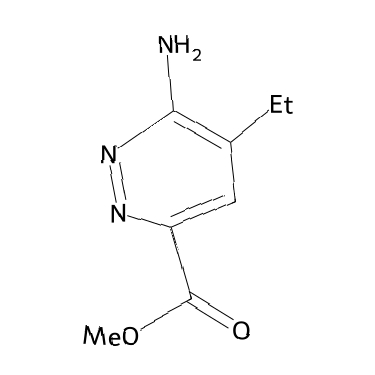 CCc1cc(C(=O)OC)nnc1N